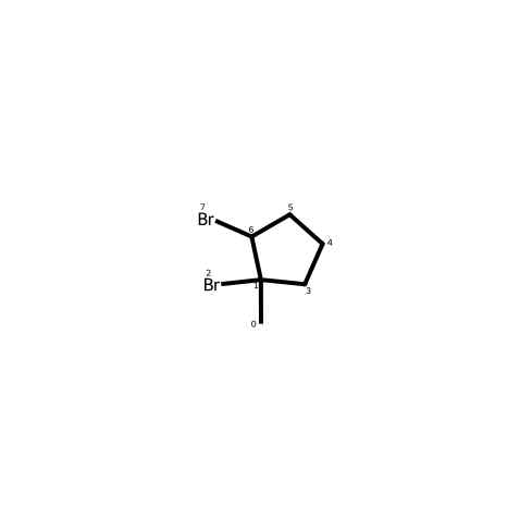 CC1(Br)CCCC1Br